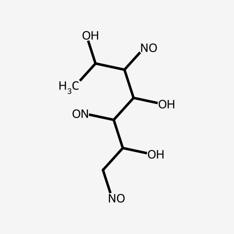 CC(O)C(N=O)C(O)C(N=O)C(O)CN=O